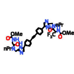 CCCN(Cc1ncc(-c2ccc(C#Cc3ccc(-c4cnc(CN(CCC)C(=O)C(NC(=O)OC)C(F)(F)F)[nH]4)cc3)cc2)[nH]1)C(=O)CNC(=O)OC